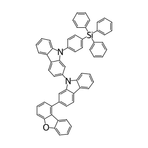 c1ccc([Si](c2ccccc2)(c2ccccc2)c2ccc(-n3c4ccccc4c4ccc(-n5c6ccccc6c6ccc(-c7cccc8oc9ccccc9c78)cc65)cc43)cc2)cc1